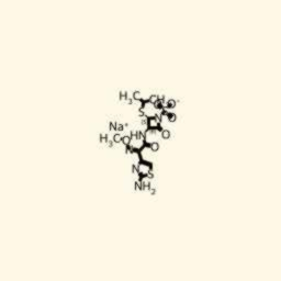 CON=C(C(=O)N[C@@H]1C(=O)N(S(=O)(=O)[O-])[C@H]1SC(C)C)c1csc(N)n1.[Na+]